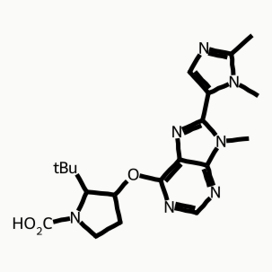 Cc1ncc(-c2nc3c(OC4CCN(C(=O)O)C4C(C)(C)C)ncnc3n2C)n1C